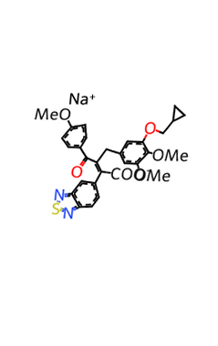 COc1ccc(C(=O)C(Cc2cc(OC)c(OC)c(OCC3CC3)c2)=C(C(=O)[O-])c2ccc3nsnc3c2)cc1.[Na+]